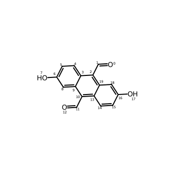 O=Cc1c2ccc(O)cc2c(C=O)c2ccc(O)cc12